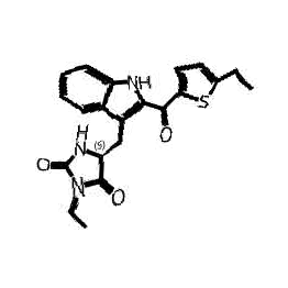 CCc1ccc(C(=O)c2[nH]c3ccccc3c2C[C@@H]2NC(=O)N(CC)C2=O)s1